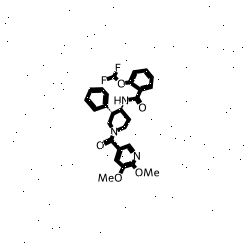 COc1cc(C(=O)N2CC[C@@H](NC(=O)c3ccccc3OC(F)F)[C@@H](c3ccccc3)C2)cnc1OC